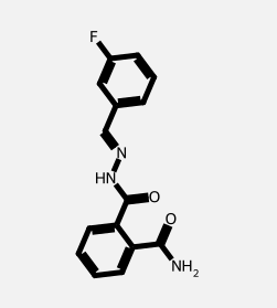 NC(=O)c1ccccc1C(=O)NN=Cc1cccc(F)c1